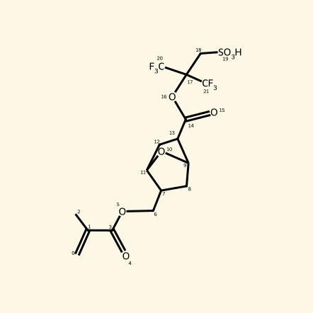 C=C(C)C(=O)OCC1CC2OC1CC2C(=O)OC(CS(=O)(=O)O)(C(F)(F)F)C(F)(F)F